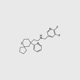 Fc1cc(CNCCC2(c3ccccn3)CCOC3(CCCC3)C2)cnc1F